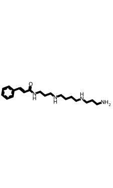 NCCCNCCCCNCCCNC(=O)C=Cc1ccccc1